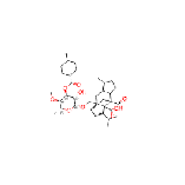 CO[C@H]1[C@@H](OC(=O)[C@H]2CC[C@H](C)CC2)[C@H](O)[C@H](OCC23CC4C(C)CCC4C4(C=O)CC2C=C(C(C)C)C43C(=O)O)O[C@@H]1C